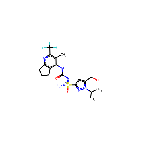 Cc1c(C(F)(F)F)nc2c(c1NC(=O)N=[S@@](N)(=O)c1cc(CO)n(C(C)C)n1)CCC2